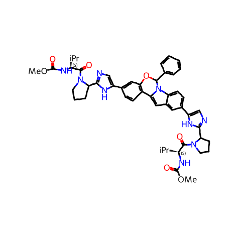 COC(=O)N[C@H](C(=O)N1CCCC1c1ncc(-c2ccc3c(c2)OC(c2ccccc2)n2c-3cc3cc(-c4cnc(C5CCCN5C(=O)[C@@H](NC(=O)OC)C(C)C)[nH]4)ccc32)[nH]1)C(C)C